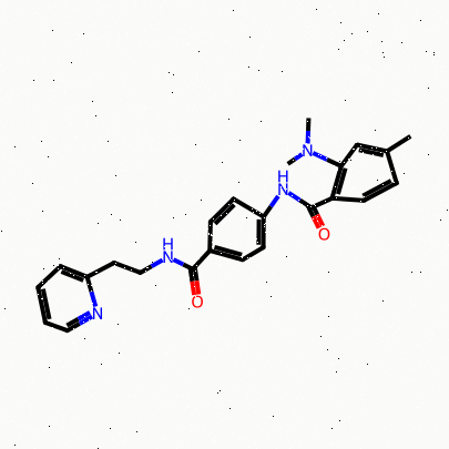 Cc1ccc(C(=O)Nc2ccc(C(=O)NCCc3ccccn3)cc2)c(N(C)C)c1